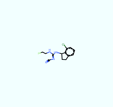 N#CN=C(NCCF)NC1CCc2cccc(Cl)c21